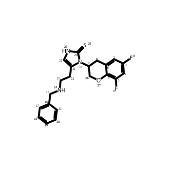 Fc1cc(F)c2c(c1)CC(n1c(CCNCc3ccccc3)c[nH]c1=S)CO2